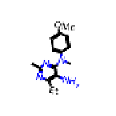 CCc1nc(C)nc(N(C)c2ccc(OC)cc2)c1N